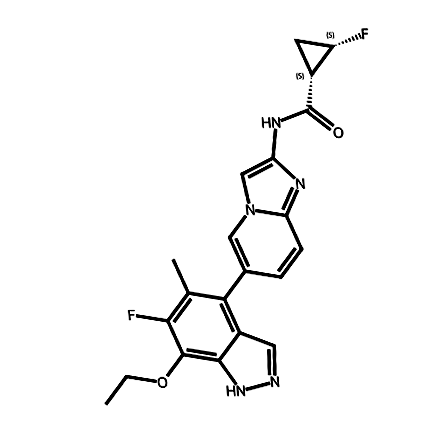 CCOc1c(F)c(C)c(-c2ccc3nc(NC(=O)[C@@H]4C[C@@H]4F)cn3c2)c2cn[nH]c12